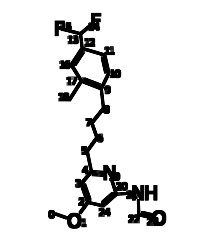 COc1cc(CCCCc2ccc(C(F)F)cc2C)nc(NC=O)c1